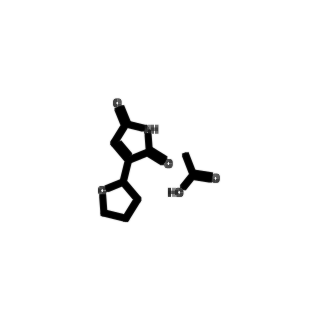 CC(=O)O.O=C1C=C(C2CCCO2)C(=O)N1